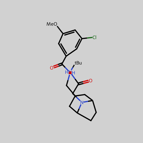 COc1cc(Cl)cc(C(=O)NCC2CC3CCC(C2)N3CC(=O)NC(C)(C)C)c1